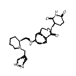 O=C1CCC(N2Cc3cc(OC[C@@H]4CCCCN4Cc4cn[nH]c4)ccc3C2=O)C(=O)N1